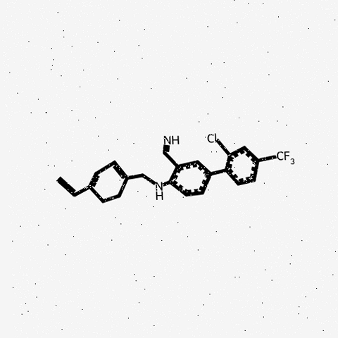 C=CC1=CC=C(CNc2ccc(-c3ccc(C(F)(F)F)cc3Cl)cc2C=N)CC1